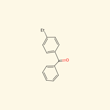 [CH2]Cc1ccc(C(=O)c2ccccc2)cc1